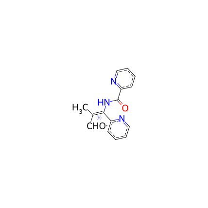 C/C([C]=O)=C(\NC(=O)c1ccccn1)c1ccccn1